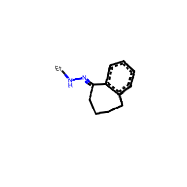 CCNN=C1CCCCc2ccccc21